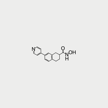 O=C(NO)C1CCc2ccc(-c3ccncc3)cc2C1